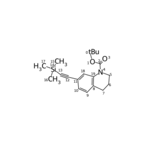 CC(C)(C)OC(=O)N1CCCc2ccc(C#C[Si](C)(C)C)cc21